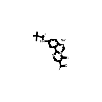 CC(C)(C)C(=O)Nc1ccc2ncn3c(=O)c(C(=O)[O-])cnc3c2c1.[Na+]